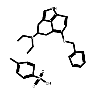 CCN(CC)C1Cc2c[nH]c3ccc(OCc4ccccc4)c(c23)C1.Cc1ccc(S(=O)(=O)O)cc1